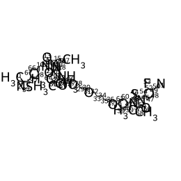 Cc1ncsc1-c1ccc(CNC(=O)[C@@H]2C[C@@H](C)CN2C(=O)[C@@H](NC(=O)COCCCOCCCCCOc2ccc(N3C(=S)N(c4ccc(C#N)c(F)c4)C(=O)C3(C)C)cc2)C(C)(C)C)cc1